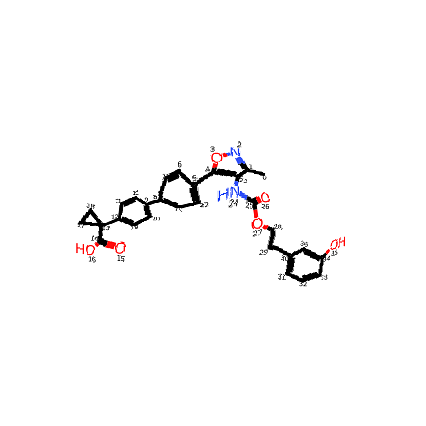 Cc1noc(-c2ccc(-c3ccc(C4(C(=O)O)CC4)cc3)cc2)c1NC(=O)OCCc1cccc(O)c1